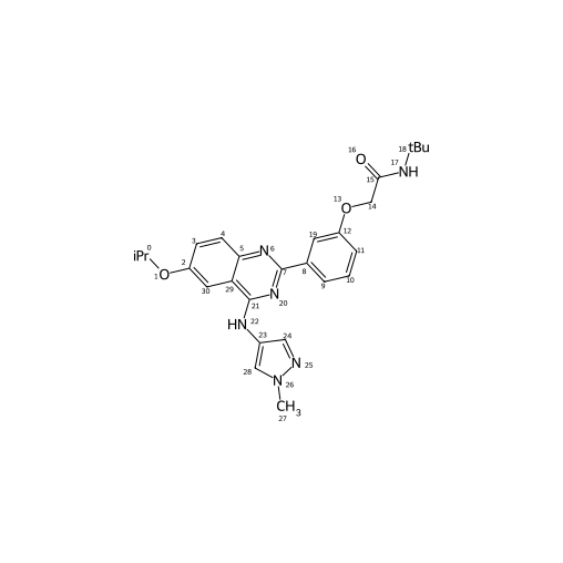 CC(C)Oc1ccc2nc(-c3cccc(OCC(=O)NC(C)(C)C)c3)nc(Nc3cnn(C)c3)c2c1